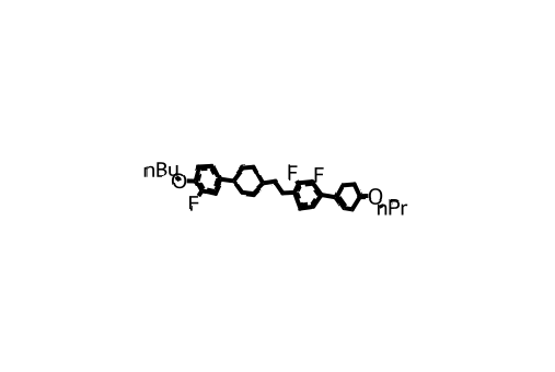 CCCCOc1ccc(C2CCC(CCc3ccc(C4=CCC(OCCC)CC4)c(F)c3F)CC2)cc1F